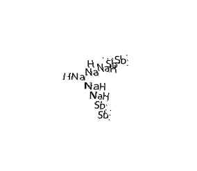 [NaH].[NaH].[NaH].[NaH].[NaH].[Sb].[Sb].[Sb].[Sb]